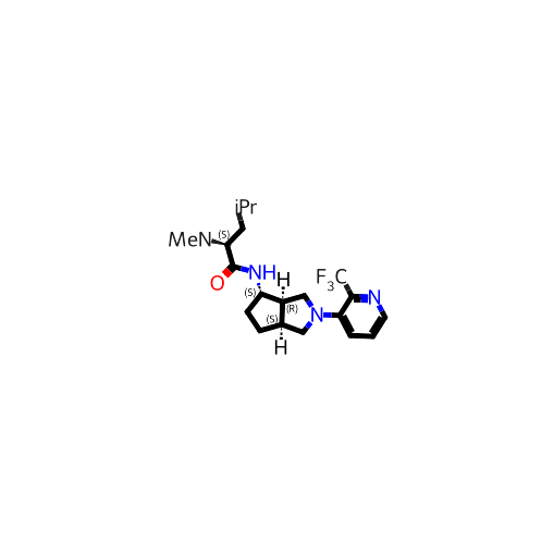 CN[C@@H](CC(C)C)C(=O)N[C@H]1CC[C@@H]2CN(c3cccnc3C(F)(F)F)C[C@@H]21